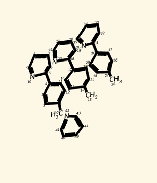 Cc1ccc(-c2ccccn2)cc1.Cc1ccc(-c2ccccn2)cc1.Cc1ccc(-c2ccccn2)cc1.c1ccncc1